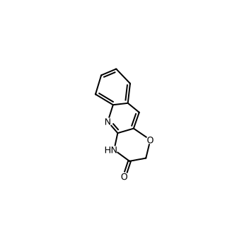 O=C1COc2cc3ccccc3nc2N1